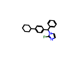 Fc1nccn1C(c1ccccc1)c1ccc(C2CCCCC2)cc1